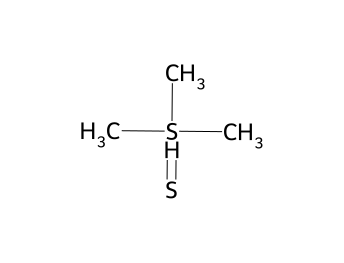 C[SH](C)(C)=S